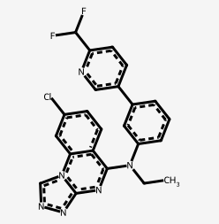 CCN(c1cccc(-c2ccc(C(F)F)nc2)c1)c1nc2nncn2c2cc(Cl)ccc12